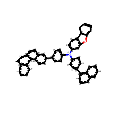 C1=CCC2C(=C1)Oc1cc(N(c3ccc(-c4ccc5c(ccc6ccc7ccccc7c65)c4)cc3)c3ccc(-c4cccc5ccccc45)cc3)ccc12